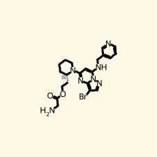 NCC(=O)OCC[C@@H]1CCCCN1c1cc(NCc2cccnc2)n2ncc(Br)c2n1